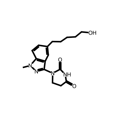 Cn1nc(N2CCC(=O)NC2=O)c2cc(CCCCCO)ccc21